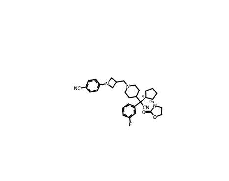 N#Cc1ccc(N2CC(CN3CCC(C(C#N)(c4cccc(F)c4)[C@H]4CCC[C@@H]4N4CCOC4=O)CC3)C2)cc1